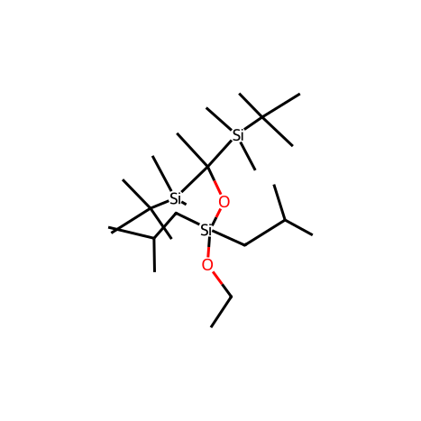 CCO[Si](CC(C)C)(CC(C)C)OC(C)([Si](C)(C)C(C)(C)C)[Si](C)(C)C(C)(C)C